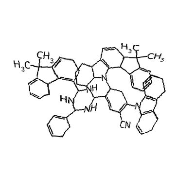 CC1(C)C2=CCCC(C3NC(C4=CC=CCC4)NC(C4=CC(C#N)=C(n5c6c(c7c5C=CCC7)CCC=C6)CC4N4C5=C(C=CC6C5c5ccccc5C6(C)C)C5CCCCC54)N3)=C2C2CC=CC=C21